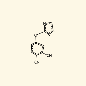 N#Cc1ccc(Oc2nc[c]s2)cc1C#N